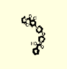 C[C@@H]1CCCN1C(=O)c1ccc(N2CCC(OC3CCN(C(=O)[C@H](O)c4ccccc4)CC3)CC2)cc1Cl